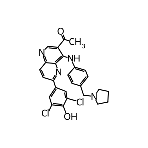 CC(=O)c1cnc2ccc(-c3cc(Cl)c(O)c(Cl)c3)nc2c1Nc1ccc(CN2CCCC2)cc1